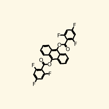 O=C(Oc1c2ccccc2c(OC(=O)c2c(F)cc(F)cc2F)c2ccccc12)c1c(F)cc(F)cc1F